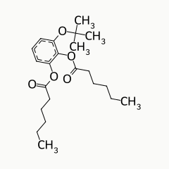 CCCCCC(=O)Oc1cccc(OC(C)(C)C)c1OC(=O)CCCCC